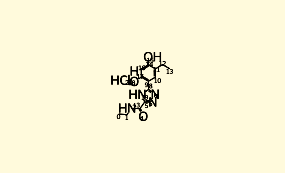 CCNC(=O)c1nnc(-c2cc(CC)c(O)cc2O)[nH]1.Cl